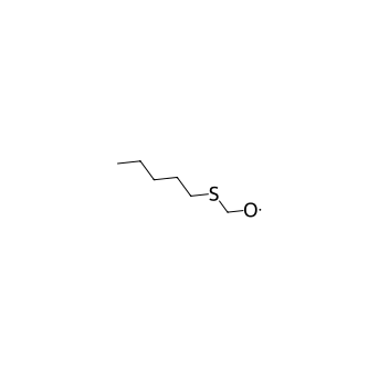 CCCCCSC[O]